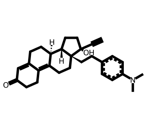 C#C[C@@]1(O)CC[C@H]2[C@@H]3CCC4=CC(=O)CCC4=C3CC[C@]21CCc1ccc(N(C)C)cc1